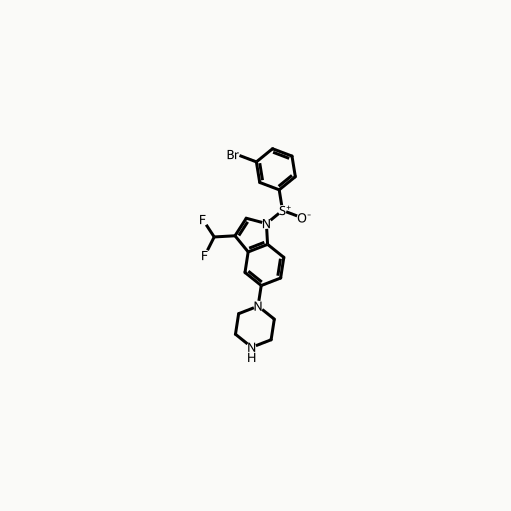 [O-][S+](c1cccc(Br)c1)n1cc(C(F)F)c2cc(N3CCNCC3)ccc21